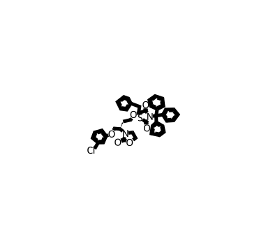 O=C1OCCN1[C@@H](CCOC1(Cc2ccccc2)SC(=O)N(C(c2ccccc2)(c2ccccc2)c2ccccc2)C1=O)COc1cccc(Cl)c1